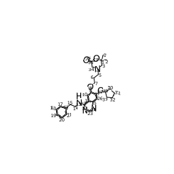 CC1(C)CN(CCCOc2cc3c(NCCc4ccccc4)ncnc3cc2OC2CCCC2)CC(=O)O1